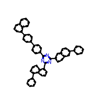 c1ccc(-c2ccc3cc(-c4nc(-c5ccc(-c6ccc(-c7cccc8ccccc78)cc6)cc5)nc(-c5cccc6c(-c7ccccc7)cccc56)n4)ccc3c2)cc1